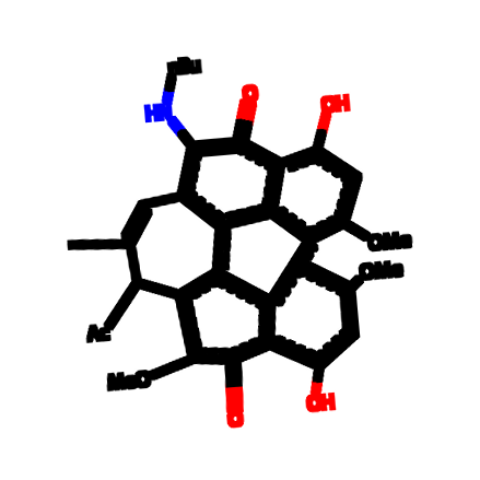 CCCCNc1c2c3c4c(c(OC)c(=O)c5c(O)cc(OC)c(c6c(OC)cc(O)c(c1=O)c63)c54)C(C(C)=O)C(C)=C2